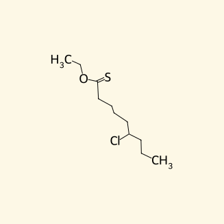 CCCC(Cl)CCCCC(=S)OCC